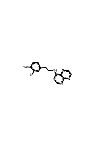 Oc1ccc(CCNc2ncnc3nccnc23)cc1Br